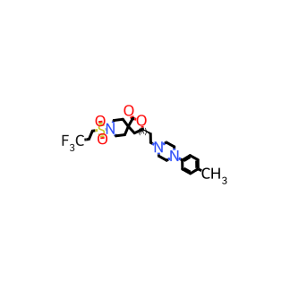 Cc1ccc(N2CCN(CC[C@H]3CC4(CCN(S(=O)(=O)CCC(F)(F)F)CC4)C(=O)O3)CC2)cc1